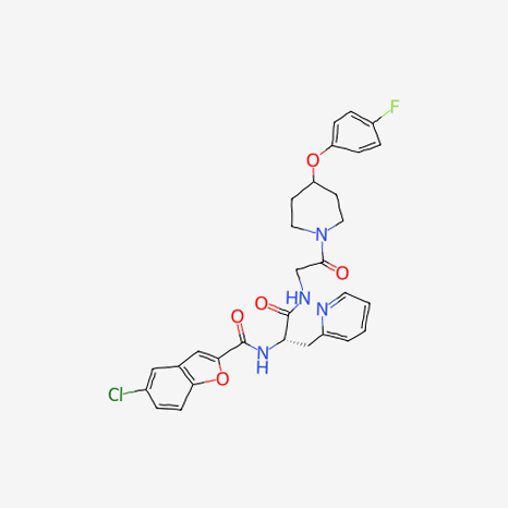 O=C(N[C@@H](Cc1ccccn1)C(=O)NCC(=O)N1CCC(Oc2ccc(F)cc2)CC1)c1cc2cc(Cl)ccc2o1